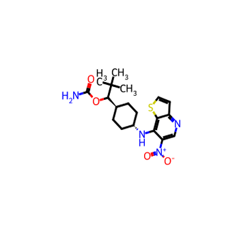 CC(C)(C)C(OC(N)=O)[C@H]1CC[C@H](Nc2c([N+](=O)[O-])cnc3ccsc23)CC1